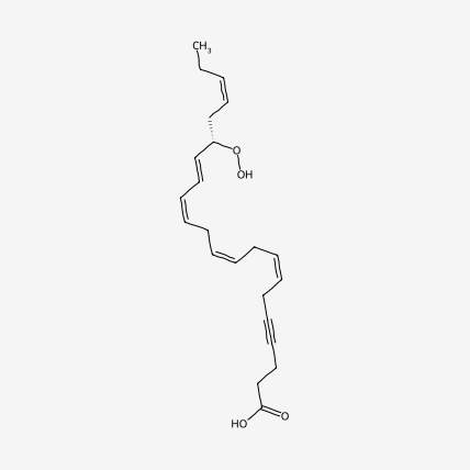 CC/C=C\C[C@@H](/C=C/C=C\C/C=C\C/C=C\CC#CCCC(=O)O)OO